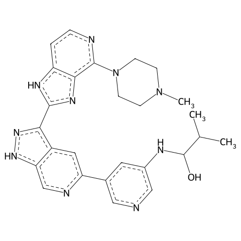 CC(C)C(O)Nc1cncc(-c2cc3c(-c4nc5c(N6CCN(C)CC6)nccc5[nH]4)n[nH]c3cn2)c1